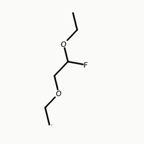 [CH2]COCC(F)OCC